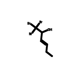 CCC=CC(O)C(Br)(Br)Br